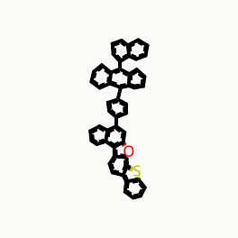 c1ccc2c(-c3c4ccccc4c(-c4ccc(-c5cc6oc7c(ccc8c9ccccc9sc87)c6c6ccccc56)cc4)c4ccccc34)cccc2c1